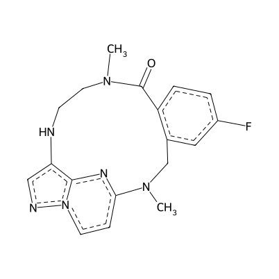 CN1CCNc2cnn3ccc(nc23)N(C)Cc2cc(F)ccc2C1=O